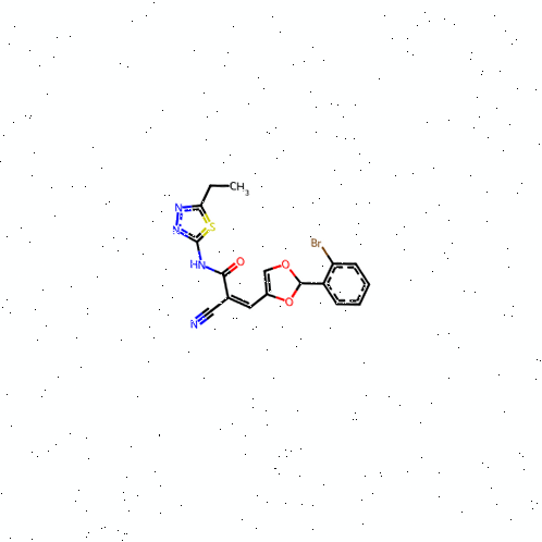 CCc1nnc(NC(=O)C(C#N)=CC2=COC(c3ccccc3Br)O2)s1